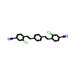 N#Cc1ccc(C=Cc2ccc(C=Cc3ccc(C#N)cc3Cl)cc2)c(Cl)c1